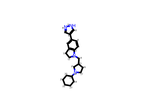 c1cc2c(cc1-c1cn[nH]c1)CCN2CC1CCN(C2CCCCC2)C1